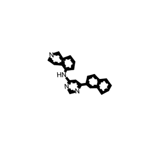 c1ccc2cc(-c3cc(Nc4cccc5cnccc45)ncn3)ccc2c1